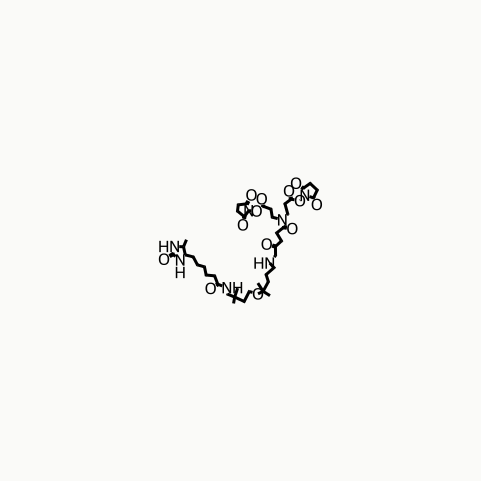 CC1NC(=O)NC1CCCCCC(=O)NCC(C)(C)CCOC(C)(C)CCCNCC(=O)CCC(=O)N(CCC(=O)ON1C(=O)CCC1=O)CCC(=O)ON1C(=O)CCC1=O